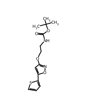 CC(C)(C)OC(=O)NCCOc1cc(-c2cccs2)on1